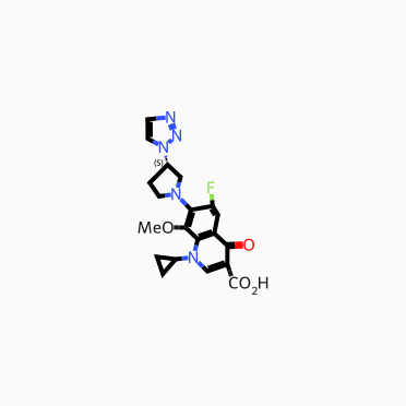 COc1c(N2CC[C@H](n3ccnn3)C2)c(F)cc2c(=O)c(C(=O)O)cn(C3CC3)c12